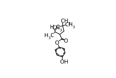 CC(C)C(CC(C)(C)C)C(=O)Oc1ccc(O)cc1